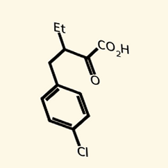 CCC(Cc1ccc(Cl)cc1)C(=O)C(=O)O